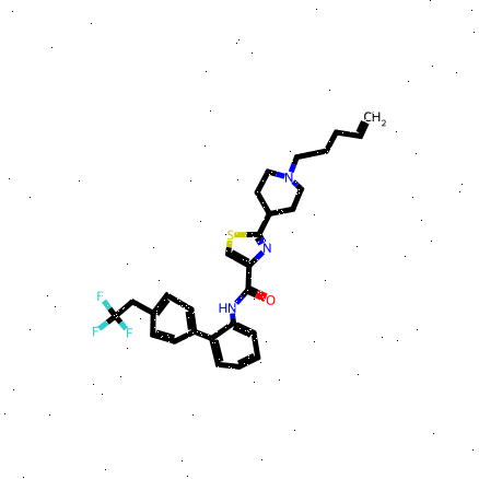 C=CCCCN1CCC(c2nc(C(=O)Nc3ccccc3-c3ccc(CC(F)(F)F)cc3)cs2)CC1